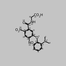 CN(C)c1ccccc1Oc1cc(C(=O)NCC(=O)O)c([N+](=O)[O-])cc1[N+](=O)[O-]